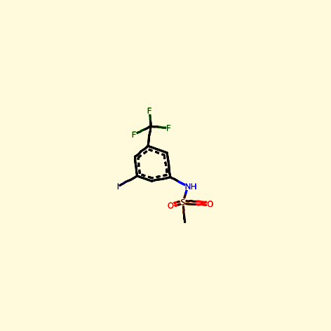 CS(=O)(=O)Nc1cc(I)cc(C(F)(F)F)c1